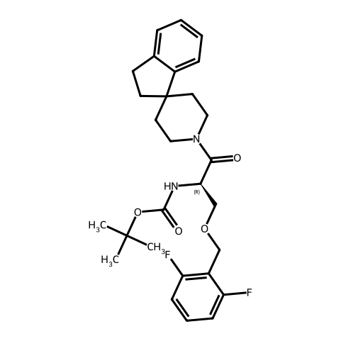 CC(C)(C)OC(=O)N[C@H](COCc1c(F)cccc1F)C(=O)N1CCC2(CCc3ccccc32)CC1